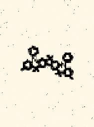 Cc1ccc2c(c1)C(C)(C)c1cc3c(cc1N2c1ccccc1)C(C)(C)c1cc2c(cc1-3)C(C)(C)c1cc(C)ccc1N2c1ccccc1